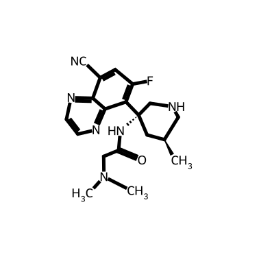 C[C@@H]1CNC[C@](NC(=O)CN(C)C)(c2c(F)cc(C#N)c3nccnc23)C1